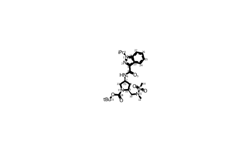 CC(C)n1nc(C(=O)N[C@H]2C[C@@H](CN(C)S(C)(=O)=O)N(C(=O)OC(C)(C)C)C2)c2ccccc21